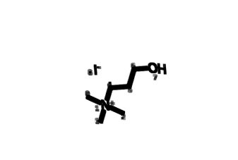 C[N+](C)(C)CCCO.[I-]